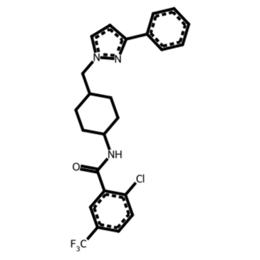 O=C(NC1CCC(Cn2ccc(-c3ccccc3)n2)CC1)c1cc(C(F)(F)F)ccc1Cl